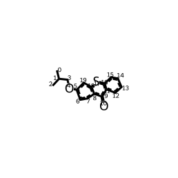 CC(C)COc1ccc2c(=O)c3ccccc3sc2c1